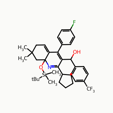 CC1(C)CC=C2C(c3ccc(F)cc3)=C(C(O)c3ccc(C(F)(F)F)cc3)C(C3CCCC3)=NC2(O[Si](C)(C)C(C)(C)C)C1